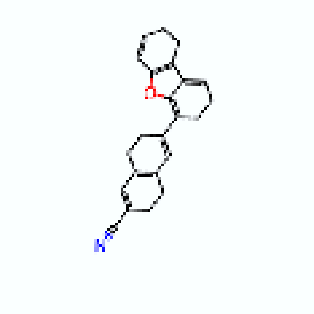 N#CC1=CC2=C(C=C(C3=c4oc5c(c4=CCC3)CCC=C5)CC2)CC1